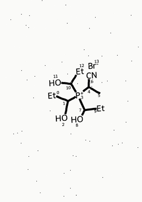 CCC(O)[P+](C(C)C#N)(C(O)CC)C(O)CC.[Br-]